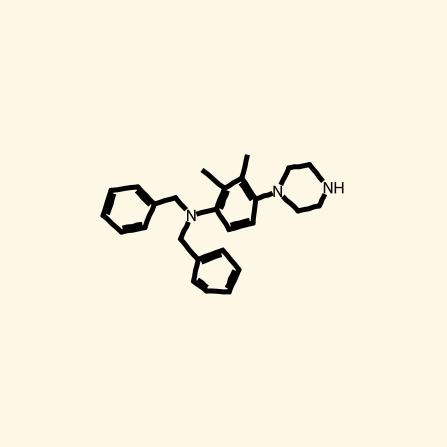 Cc1c(N2CCNCC2)ccc(N(Cc2ccccc2)Cc2ccccc2)c1C